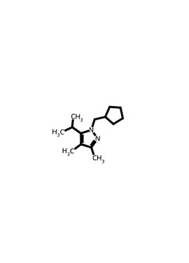 Cc1nn(CC2CCCC2)c(C(C)C)c1C